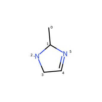 CC1[N]CC=N1